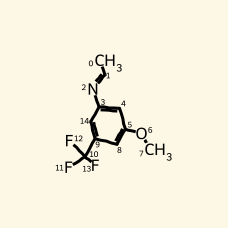 CC=Nc1cc(OC)cc(C(F)(F)F)c1